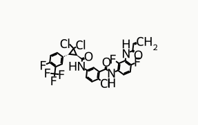 C=CC(=O)Nc1c(F)ccc(NC(=O)c2cc(NC(=O)[C@H]3[C@H](c4ccc(F)c(C(F)(F)F)c4)C3(Cl)Cl)ccc2Cl)c1F